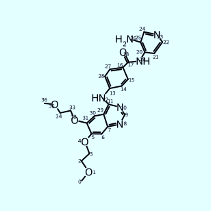 COCCOc1cc2ncnc(Nc3ccc(C(=O)Nc4ccncc4N)cc3)c2cc1OCCOC